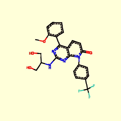 COc1ccccc1-c1nc(NC(CO)CO)nc2c1ccc(=O)n2-c1ccc(C(F)(F)F)cc1